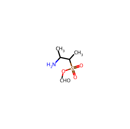 CC(N)C(C)S(=O)(=O)OC=O